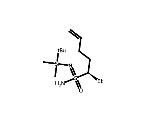 C=CCC[C@@H](CC)S(N)(=O)=N[Si](C)(C)C(C)(C)C